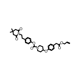 C=CCOC(=O)Cc1ccc(OC2CCN(C(=O)Oc3ccc(CCN4C(=O)CC(C)(C)CC4=O)cc3)CC2)cc1